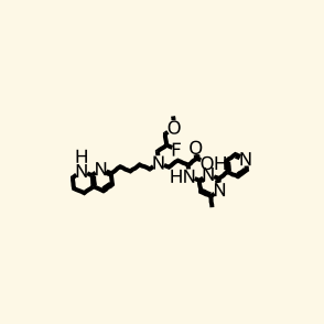 COCC(F)CN(CCCCc1ccc2c(n1)NCCC2)CCC(Nc1cc(C)nc(-c2ccncc2)n1)C(=O)O